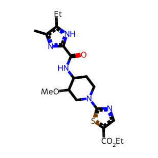 CCOC(=O)c1cnc(N2CCC(NC(=O)c3nc(C)c(CC)[nH]3)C(OC)C2)s1